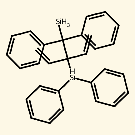 C=CC(C=C)([SiH](c1ccccc1)c1ccccc1)C([SiH3])(c1ccccc1)c1ccccc1